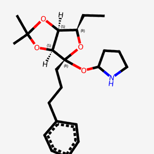 CC[C@H]1O[C@](CCCc2ccccc2)(OC2CCCN2)[C@H]2OC(C)(C)O[C@@H]12